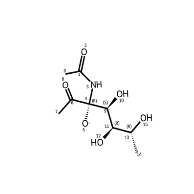 CC(=O)N[C@]([O])(C(C)=O)[C@@H](O)[C@H](O)[C@@H](C)O